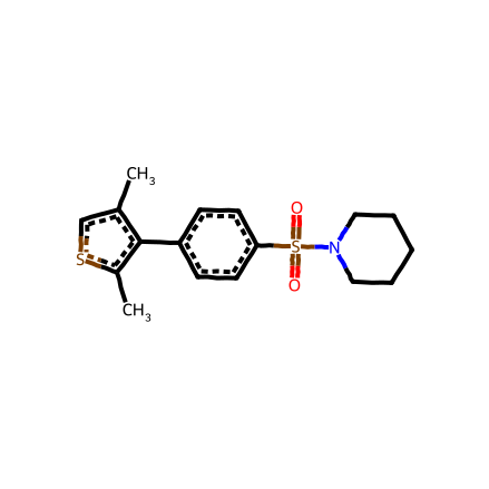 Cc1csc(C)c1-c1ccc(S(=O)(=O)N2CCCCC2)cc1